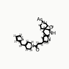 CC(=O)N1CCC2(CC1)Cc1cc(C=CC(=O)N3CC=C(Cc4cccs4)CC3)cnc1NC2=O